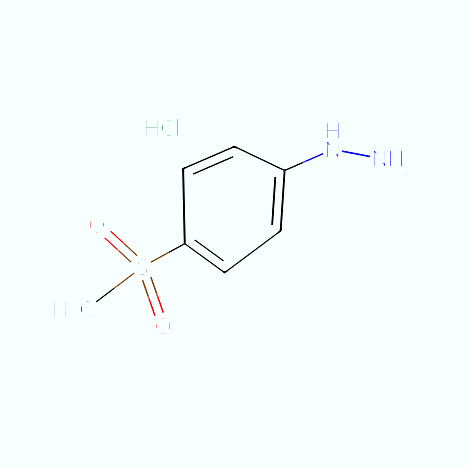 CS(=O)(=O)c1ccc(NN)cc1.Cl